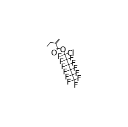 C=C(CC)C(=O)OC(F)(Cl)C(F)(F)C(F)(F)C(F)(F)C(F)(F)C(F)(F)F